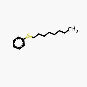 CCCCCCC[CH]Sc1ccccc1